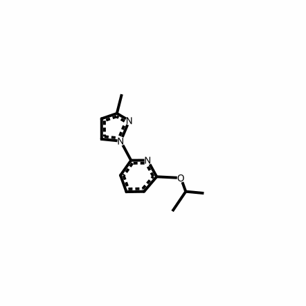 Cc1ccn(-c2cccc(OC(C)C)n2)n1